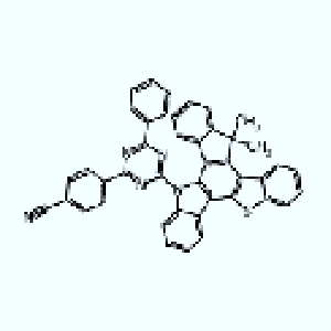 CC1(C)c2ccccc2-c2c1c1c3ccccc3sc1c1c3ccccc3n(-c3nc(-c4ccccc4)nc(-c4ccc(C#N)cc4)n3)c21